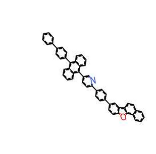 c1ccc(-c2ccc(-c3c4ccccc4c(-c4ccc(-c5ccc(-c6ccc7oc8c9ccccc9ccc8c7c6)cc5)nc4)c4ccccc34)cc2)cc1